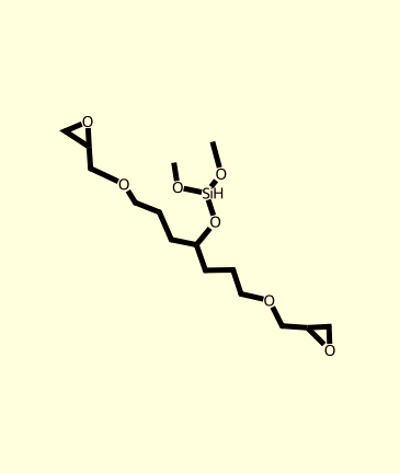 CO[SiH](OC)OC(CCCOCC1CO1)CCCOCC1CO1